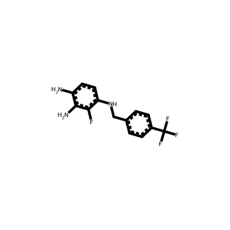 Nc1ccc(NCc2ccc(C(F)(F)F)cc2)c(F)c1N